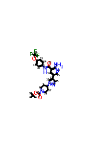 CC(C)(C)OC(=O)N1CCC(n2cc(-c3cnc(N)c(C(=O)Nc4ccc(OC(F)(F)F)cc4)c3)cn2)CC1